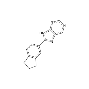 c1ncc2nc(-c3ccc4c(c3)CCS4)[nH]c2n1